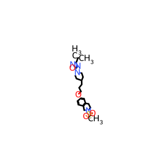 CC(C)c1noc(N2CCC(CCCOc3ccc4c(c3)CCN(S(C)(=O)=O)C4)CC2)n1